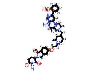 O=C1CCC(N2Cc3cc(OCCN4CCC(CN5CCN6c7cc(-c8ccccc8O)nnc7NC[C@H]6C5)CC4)ccc3C2=O)C(=O)N1